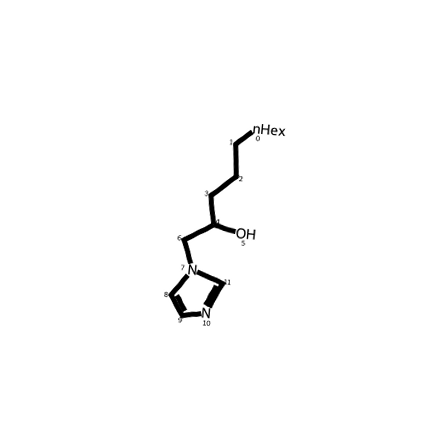 CCCCCCCCCC(O)Cn1ccnc1